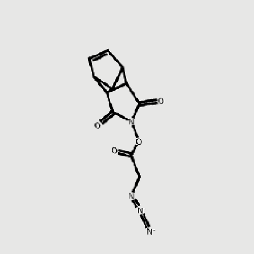 [N-]=[N+]=NCC(=O)ON1C(=O)C2C3C=CC(C3)C2C1=O